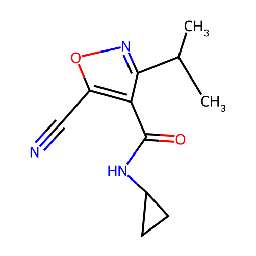 CC(C)c1noc(C#N)c1C(=O)NC1CC1